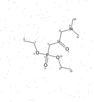 CCOP(=O)(CC(=O)CN(C)C)OCC